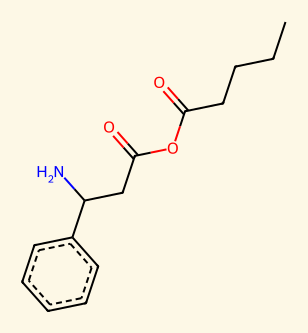 CCCCC(=O)OC(=O)CC(N)c1ccccc1